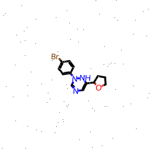 Brc1ccc(N2C=NC=C(C3CCCO3)N2)cc1